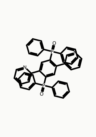 O=P(c1ccccc1)(c1ccccc1)c1cc(-c2ccccn2)c(P(=O)(c2ccccc2)c2ccccc2)cc1-c1cccnc1